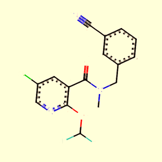 CN(Cc1cccc(C#N)c1)C(=O)c1cc(Cl)cnc1OC(F)F